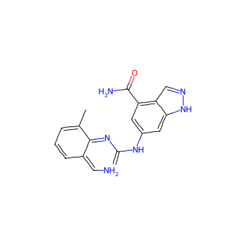 C=C(/N=C1/C(C)=CC=C/C1=C/N)Nc1cc(C(N)=O)c2cn[nH]c2c1